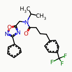 CC(C)N(Cc1nc(-c2ccccc2)no1)C(=O)CCCc1ccc(C(F)(F)F)cc1